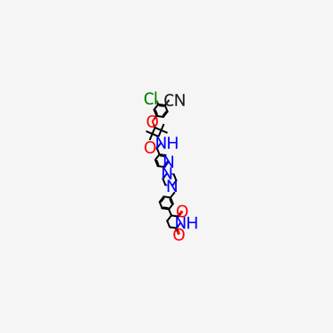 CC1(C)C(NC(=O)c2ccc(N3CCN(Cc4cccc(C5CCC(=O)NC5=O)c4)CC3)nc2)C(C)(C)C1Oc1ccc(C#N)c(Cl)c1